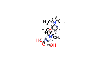 COc1cc(-n2c(C)ccc2C)ncc1CC(C)(C)N1CCN(C(=O)O)[C@@H](CO)C1